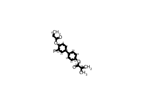 C=CC(=O)Oc1ccc(-c2ccc(OC(=O)C(=C)C)cc2)cc1F